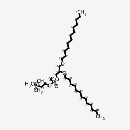 CCCCCCCCCCCCCOC[C@H](COP(=O)([O-])OCC[N+](C)(C)C)OCCCCCCCCCCCCC